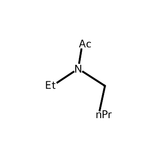 [CH2]C(=O)N(CC)CCCC